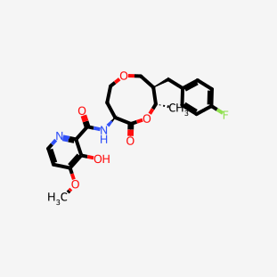 COc1ccnc(C(=O)N[C@H]2CCOC[C@@H](Cc3ccc(F)cc3)[C@H](C)OC2=O)c1O